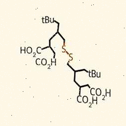 CC(C)(C)CC(CSSCC(CC(CC(=O)O)C(=O)O)CC(C)(C)C)CC(CC(=O)O)C(=O)O